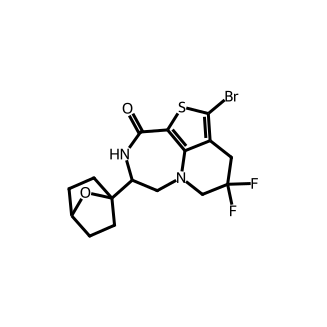 O=C1NC(C23CCC(CC2)O3)CN2CC(F)(F)Cc3c(Br)sc1c32